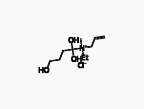 C=CC[N+](C)(CC)C(O)(O)CCCO.[Cl-]